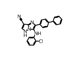 N#Cc1c[nH]n2c(Nc3ccccc3Cl)c(-c3ccc(-c4ccccc4)cc3)nc12